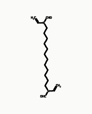 C=CN(C=O)CCCCCCCCCCCCN(C=C)C=O